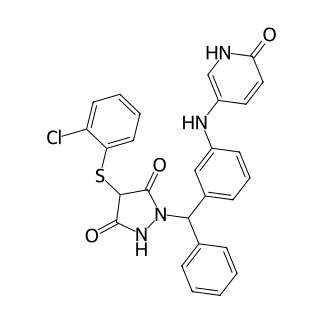 O=C1NN(C(c2ccccc2)c2cccc(Nc3ccc(=O)[nH]c3)c2)C(=O)C1Sc1ccccc1Cl